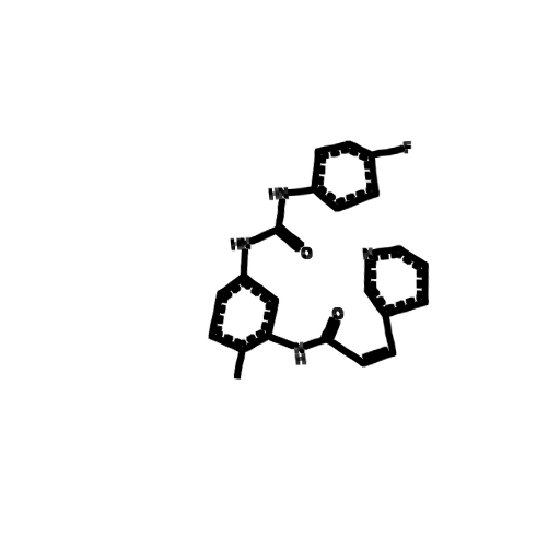 Cc1ccc(NC(=O)Nc2ccc(F)cc2)cc1NC(=O)/C=C\c1cccnc1